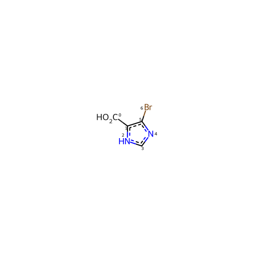 O=C(O)c1[nH]cnc1Br